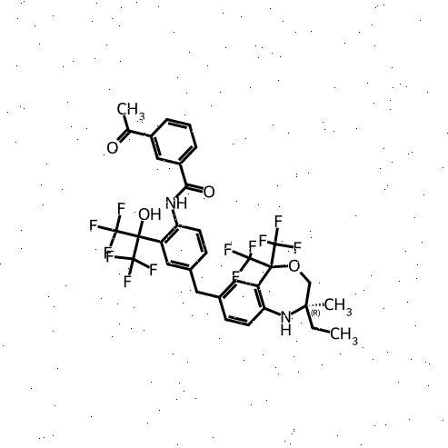 CC[C@]1(C)COC(C(F)(F)F)(C(F)(F)F)c2cc(Cc3ccc(NC(=O)c4cccc(C(C)=O)c4)c(C(O)(C(F)(F)F)C(F)(F)F)c3)ccc2N1